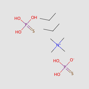 CCC.CCC.C[N+](C)(C)C.OP(O)(O)=S.[O-]P(O)(O)=S